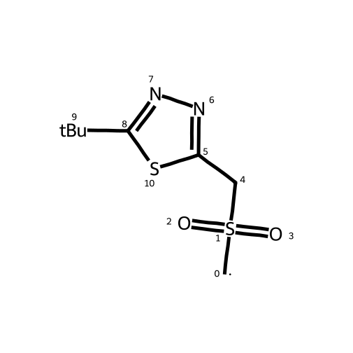 [CH2]S(=O)(=O)Cc1nnc(C(C)(C)C)s1